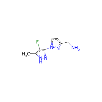 Cc1[nH]nc(-n2ccc(CN)n2)c1F